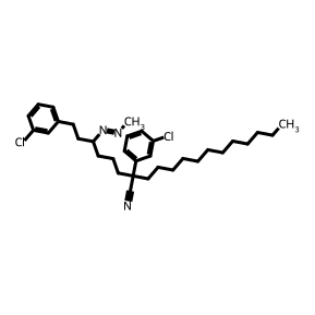 CCCCCCCCCCCCC(C#N)(CCCC(CCc1cccc(Cl)c1)N=NC)c1cccc(Cl)c1